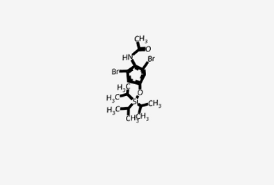 CC(=O)Nc1c(Br)cc(O[Si](C(C)C)(C(C)C)C(C)C)cc1Br